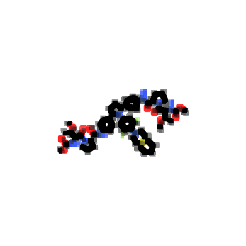 COC(=O)N[C@H](C(=O)N1CCC[C@H]1C(=O)Nc1ccc([C@H]2CC[C@H](c3ccc(NC(=O)[C@@H]4CCCN4C(=O)[C@@H](NC(=O)OC)[C@@H](C)OC)cc3)N2c2cc(F)c(N3CCS4(CCCCC4)CC3)c(F)c2)cc1)[C@@H](C)OC